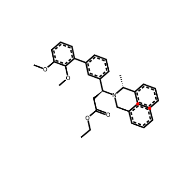 CCOC(=O)C[C@@H](c1cccc(-c2cccc(OC)c2OC)c1)N(Cc1ccccc1)[C@H](C)c1ccccc1